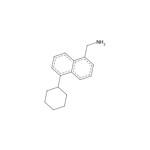 NCc1cccc2c(C3CCCCC3)cccc12